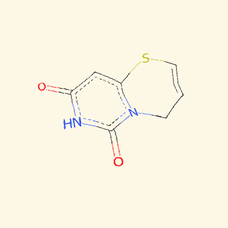 O=c1cc2n(c(=O)[nH]1)CC=CS2